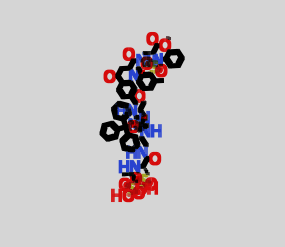 COC(=O)[C@H](CNC(=O)C1CC(=O)c2ccc(CNc3nccn3C(c3ccccc3)(c3ccccc3)c3ccccc3)cc2N1C)N(c1ccccc1)S(=O)(=O)c1c(C)cc(OCCCC(=O)NCCNC(=O)[C@H](CS(=O)(=O)O)N[C@H](C)CS(=O)(=O)O)cc1C